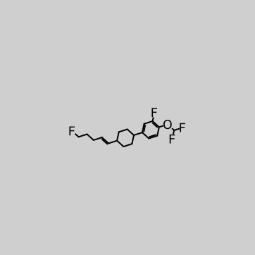 FCCC/C=C/C1CCC(c2ccc(OC(F)F)c(F)c2)CC1